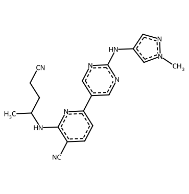 CC(CCC#N)Nc1nc(-c2cnc(Nc3cnn(C)c3)nc2)ccc1C#N